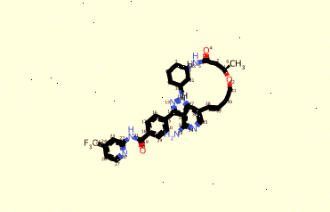 C[C@@H]1CC(=O)N[C@@H]2CCC[C@H](C2)n2nc(-c3ccc(C(=O)Nc4cc(C(F)(F)F)ccn4)cc3)c3c(N)ncc(c32)/C=C/CCO1